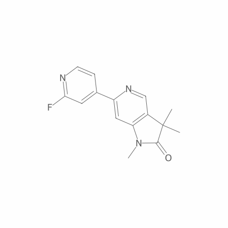 CN1C(=O)C(C)(C)c2cnc(-c3ccnc(F)c3)cc21